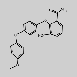 COc1ccc(Oc2ccc(Sc3c(O)cccc3C(N)=O)cc2)cc1